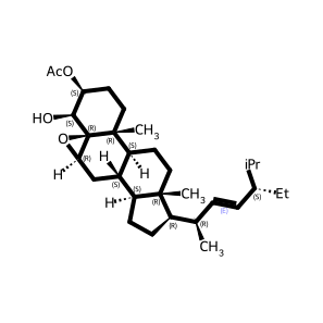 CC[C@H](/C=C/[C@@H](C)[C@H]1CC[C@H]2[C@@H]3C[C@H]4O[C@]45[C@@H](O)[C@@H](OC(C)=O)CC[C@]5(C)[C@H]3CC[C@]12C)C(C)C